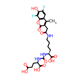 Cc1c(CC(=O)NCCCC[C@H](NC(=O)NC(CCC(=O)O)C(=O)O)C(=O)O)c(=O)oc2c(F)c(O)c(F)cc12